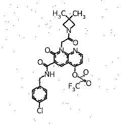 CC1(C)CN(C(=O)Cn2c(=O)c(C(=O)NCc3ccc(Cl)cc3)cc3c(OS(=O)(=O)C(F)(F)F)ccnc32)C1